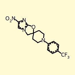 O=[N+]([O-])c1cn2c(n1)OC1(CCN(c3ccc(C(F)(F)F)cc3)CC1)C2